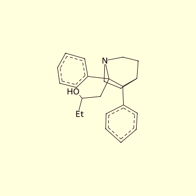 CCC(O)CC1(c2ccccc2)C(c2ccccc2)C2CCN1CC2